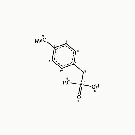 COc1ccc(CP(=O)(O)O)cc1